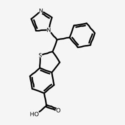 O=C(O)c1ccc2c(c1)CC(C(c1ccccc1)n1ccnc1)S2